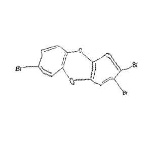 Brc1ccc2c(c1)Oc1cc(Br)c(Br)cc1O2